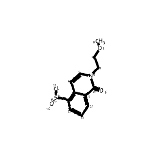 COCCn1ccc2c([S+]([O-])Cl)cccc2c1=O